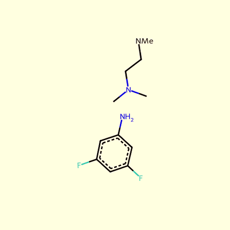 CNCCN(C)C.Nc1cc(F)cc(F)c1